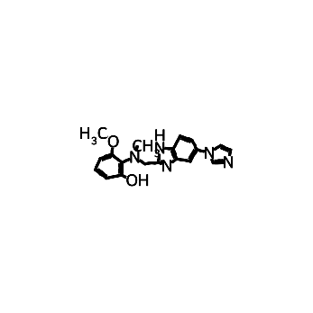 COc1cccc(O)c1N(C)Cc1nc2cc(-n3ccnc3)ccc2[nH]1